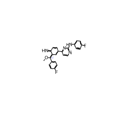 CO/C(=C1/C=C(c2ccnc(Nc3ccc(F)cc3)n2)C=CC1=N)c1ccc(F)cc1